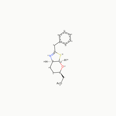 CC(=O)OC[C@H]1[C][C][C@H]2N=C(Cc3ccccc3)S[C@H]2O1